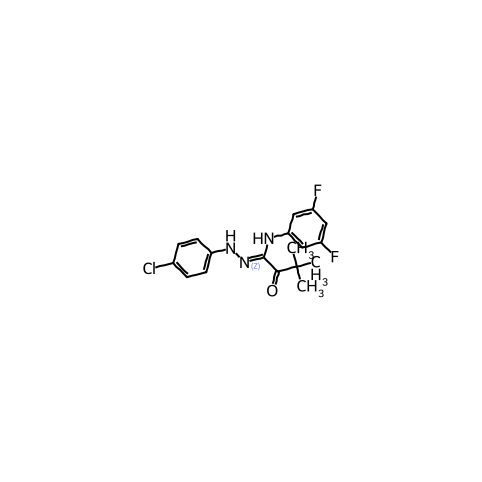 CC(C)(C)C(=O)/C(=N/Nc1ccc(Cl)cc1)Nc1cc(F)cc(F)c1